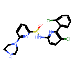 [O-][S+](Nc1ccc(Cl)c(-c2ccccc2Cl)n1)c1cccc(N2CCNCC2)n1